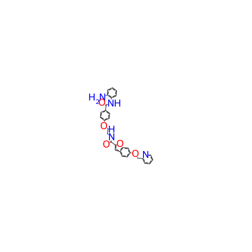 Nc1ccccc1NC(=O)c1ccc(OCCNC(=O)c2cc3ccc(OCc4ccccn4)cc3o2)cc1